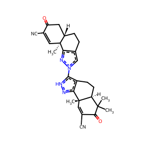 CC1(C)C(=O)C(C#N)=C[C@]2(C)c3n[nH]c(-n4cc5c(n4)[C@@]4(C)C=C(C#N)C(=O)C[C@@H]4CC5)c3CC[C@@H]12